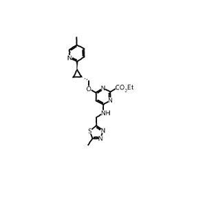 CCOC(=O)c1nc(NCc2nnc(C)s2)cc(OC[C@@H]2C[C@H]2c2ccc(C)cn2)n1